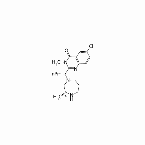 CCCC(c1nc2ccc(Cl)cc2c(=O)n1C)N1CCCN[C@@H](C)C1